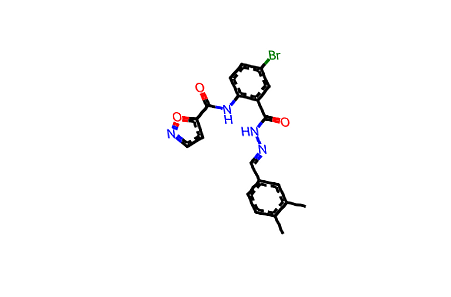 Cc1ccc(C=NNC(=O)c2cc(Br)ccc2NC(=O)c2ccno2)cc1C